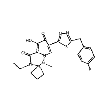 CCN1C(=O)c2c(O)c(=O)c(-c3nnc(Cc4ccc(F)cc4)s3)cn2N(C)C12CCC2